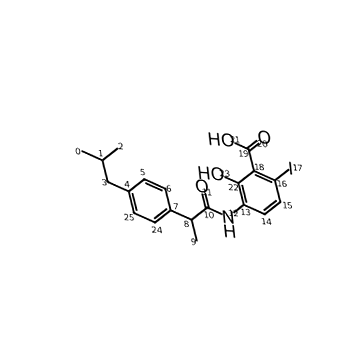 CC(C)Cc1ccc(C(C)C(=O)Nc2ccc(I)c(C(=O)O)c2O)cc1